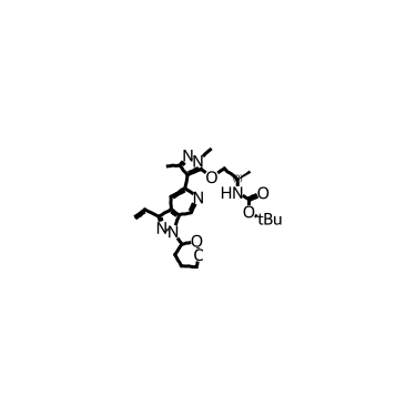 C=Cc1nn(C2CCCCO2)c2cnc(-c3c(C)nn(C)c3OC[C@@H](C)NC(=O)OC(C)(C)C)cc12